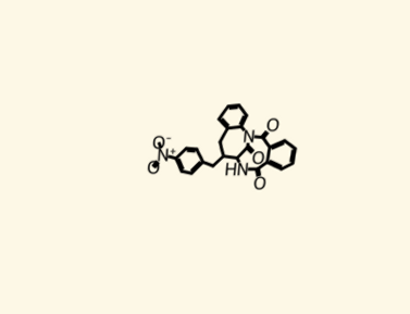 O=C1NC2C(=O)N(C(=O)c3ccccc31)c1ccccc1CC2Cc1ccc([N+](=O)[O-])cc1